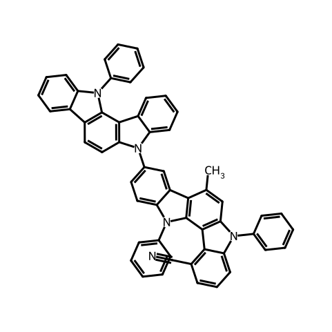 Cc1cc2c(c3c(C#N)cccc3n2-c2ccccc2)c2c1c1cc(-n3c4ccccc4c4c3ccc3c5ccccc5n(-c5ccccc5)c34)ccc1n2-c1ccccc1